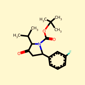 CC(C)C1C(=O)CC(c2cccc(F)c2)N1C(=O)OC(C)(C)C